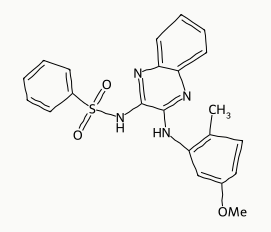 COc1ccc(C)c(Nc2nc3ccccc3nc2NS(=O)(=O)c2ccccc2)c1